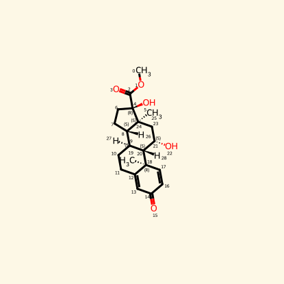 COC(=O)[C@@]1(O)CC[C@H]2[C@@H]3CCC4=CC(=O)C=C[C@]4(C)[C@H]3[C@@H](O)C[C@@]21C